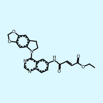 CCOC(=O)/C=C/C(=O)Nc1ccc2ncnc(N3CCc4cc5c(cc43)OCO5)c2c1